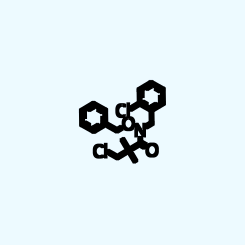 CC(C)(CCl)C(=O)N(Cc1ccccc1Cl)OCc1ccccc1